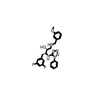 COc1cccc(CNC[C@@H](O)[C@H](Cc2cc(F)cc(F)c2)Nc2nnnn2-c2ccccc2)c1